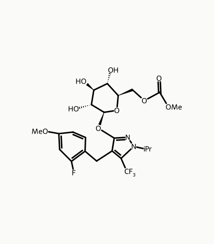 COC(=O)OC[C@H]1O[C@@H](Oc2nn(C(C)C)c(C(F)(F)F)c2Cc2ccc(OC)cc2F)[C@H](O)[C@@H](O)[C@@H]1O